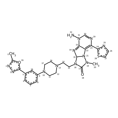 Cc1nnc(-c2cccc(N3CCN(CCN4C(=O)N(C)N5C6=C(c7nccs7)N=CN(N)C6=NC45)CC3)c2)o1